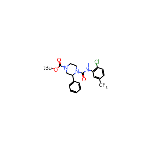 CC(C)(C)OC(=O)N1CCN(C(=O)Nc2cc(C(F)(F)F)ccc2Cl)C(c2ccccc2)C1